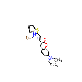 CCN(CC)c1ccc2cc(/C=C/c3sc4ccccc4[n+]3CBr)c(=O)oc2c1